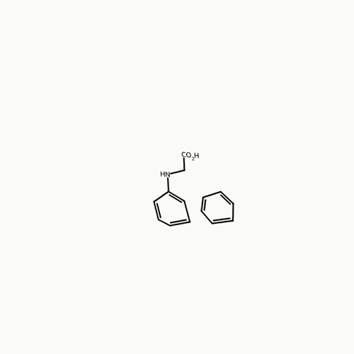 O=C(O)CNc1ccccc1.c1ccccc1